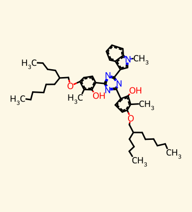 CCCCCCC(CCCC)COc1ccc(-c2nc(-c3ccc(OCC(CCCC)CCCCCC)c(C)c3O)nc(-c3cn(C)c4ccccc34)n2)c(O)c1C